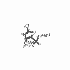 CCCCCCC(C)(CCCCC)c1sc(Cl)nc1OC